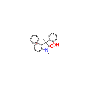 CN1C(=O)C(Cc2ccccc2)(c2ccccc2O)c2ccccc21